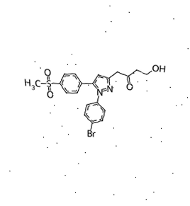 CS(=O)(=O)c1ccc(-c2cc(CC(=O)CCO)nn2-c2ccc(Br)cc2)cc1